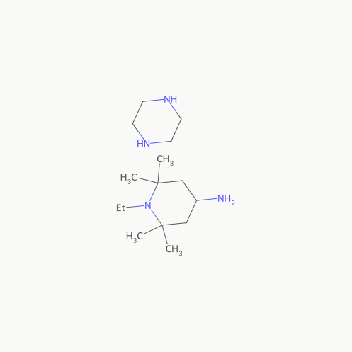 C1CNCCN1.CCN1C(C)(C)CC(N)CC1(C)C